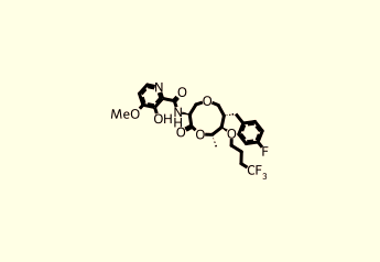 COc1ccnc(C(=O)N[C@H]2COC[C@H](Cc3ccc(F)cc3)[C@@H](OCCCC(F)(F)F)[C@H](C)OC2=O)c1O